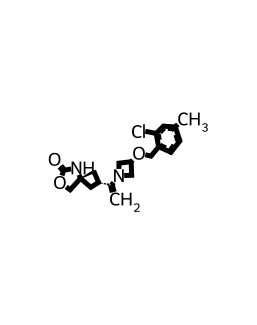 C=C([C@H]1C[C@]2(COC(=O)N2)C1)N1CC(OCc2ccc(C)cc2Cl)C1